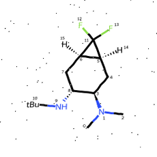 CN(C)[C@@H]1C[C@H]2[C@@H](C[C@H]1NC(C)(C)C)C2(F)F